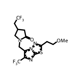 COCCc1nn2c(CN3CC(CC(F)(F)F)CC3=O)c(C(F)(F)F)nc2s1